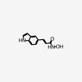 O=C(C=Cc1ccc2[nH]ccc2c1)NO